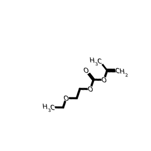 C=C(C)OC(=O)OCCOCC